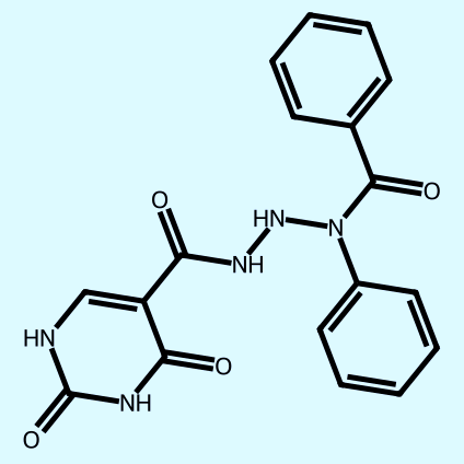 O=C(NNN(C(=O)c1ccccc1)c1ccccc1)c1c[nH]c(=O)[nH]c1=O